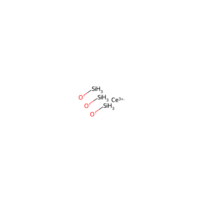 [Ce+3].[O-][SiH3].[O-][SiH3].[O-][SiH3]